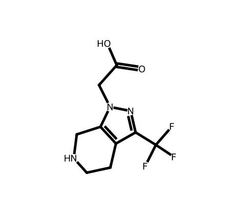 O=C(O)Cn1nc(C(F)(F)F)c2c1CNCC2